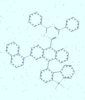 CC1(C)c2ccccc2-c2c(-c3c4ccccc4c(C4=NC(c5ccccc5)=NC(c5ccccc5)N4)c4ccc(-c5cccc6ccccc56)cc34)cccc21